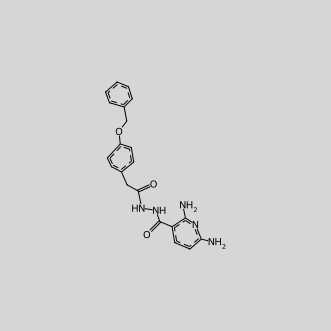 Nc1ccc(C(=O)NNC(=O)Cc2ccc(OCc3ccccc3)cc2)c(N)n1